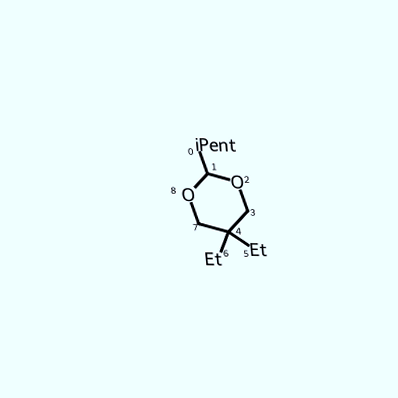 CCCC(C)C1OCC(CC)(CC)CO1